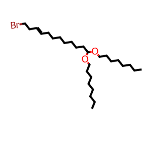 CCCCCCCCOC(CCCCCCC/C=C/CCBr)OCCCCCCCC